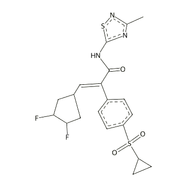 Cc1nsc(NC(=O)/C(=C/C2CC(F)C(F)C2)c2ccc(S(=O)(=O)C3CC3)cc2)n1